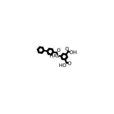 O=C(O)c1cc([AsH]C(=O)c2ccc(-c3ccccc3)cc2)cc(C(=O)O)c1